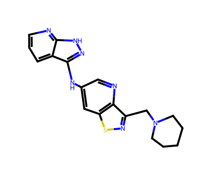 c1cnc2[nH]nc(Nc3cnc4c(CN5CCCCC5)nsc4c3)c2c1